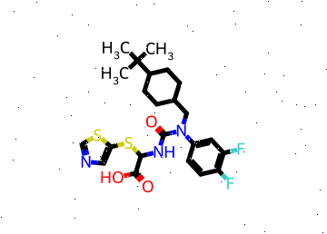 CC(C)(C)C1CCC(CN(C(=O)NC(Sc2cncs2)C(=O)O)c2ccc(F)c(F)c2)CC1